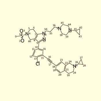 CS(=O)(=O)N1CCc2c(c(-c3ccc(Cl)c(C#Cc4ccc5c(c4)CN(C4CC4)CC5)c3)nn2CCCN2CCN(C3CC3)CC2)C1